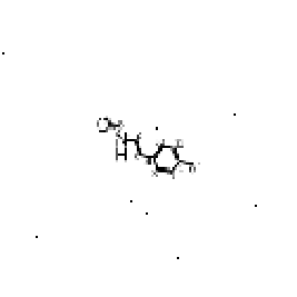 [CH2]c1ccc(C=CNC=O)cc1